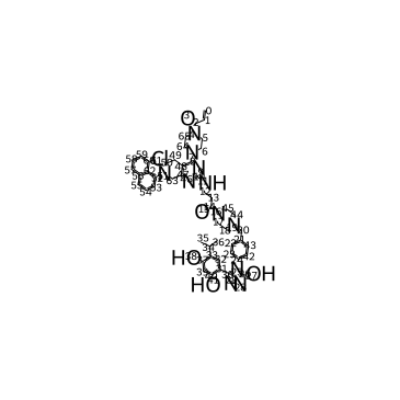 C=CC(=O)N1CCN(c2nc(NCCC(=O)N3CCN(Cc4ccc(-n5c(O)nnc5-c5cc(C(C)C)c(O)cc5O)cc4)CC3)nc3c2CCN(c2cccc4cccc(Cl)c24)C3)CC1